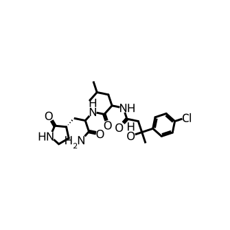 CC(C)CC(NC(=O)CC(C)(O)c1ccc(Cl)cc1)C(=O)NC(C[C@@H]1CCNC1=O)C(N)=O